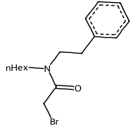 CCCCCCN(CCc1ccccc1)C(=O)CBr